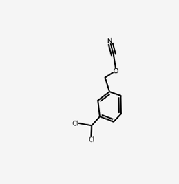 N#COCc1cccc(C(Cl)Cl)c1